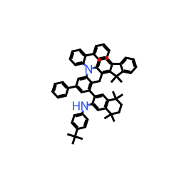 CC(C)(C)c1ccc(Nc2cc3c(cc2-c2cc(-c4ccccc4)cc4c2Cc2c(ccc5c2C(C)(C)c2ccccc2-5)N4c2ccccc2-c2ccccc2)C(C)(C)CCC3(C)C)cc1